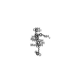 COC1O[C@H](C(=O)N[C@@H](C(=O)NC(CCCNC(N)=O)C(=O)Nc2ccc(CCN)cc2)C(C)C)[C@@H](O)[C@H](O)C1NC(=O)CCCCCN1C(=O)C=CC1=O